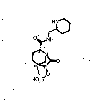 O=C(NCC1CCCCN1)[C@@H]1CC[C@@H]2CN1C(=O)N2OS(=O)(=O)O